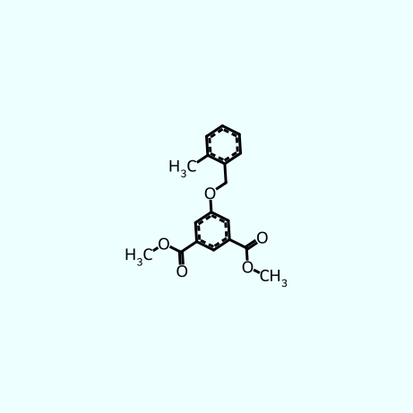 COC(=O)c1cc(OCc2ccccc2C)cc(C(=O)OC)c1